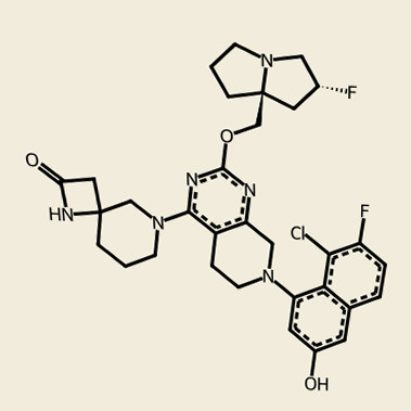 O=C1CC2(CCCN(c3nc(OC[C@@]45CCCN4C[C@H](F)C5)nc4c3CCN(c3cc(O)cc5ccc(F)c(Cl)c35)C4)C2)N1